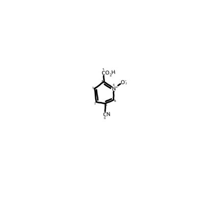 N#Cc1ccc(C(=O)O)[n+]([O-])c1